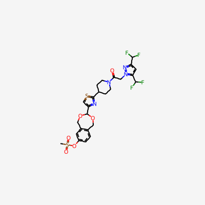 CS(=O)(=O)Oc1ccc2c(c1)COC(c1csc(C3CCN(C(=O)Cn4nc(C(F)F)cc4C(F)F)CC3)n1)OC2